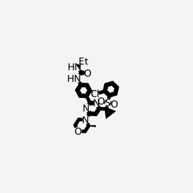 CCNC(=O)Nc1ccc(-c2nc(N3CCOC[C@@H]3C)cc(C3(S(=O)(=O)c4ccccc4Cl)CC3)n2)cc1